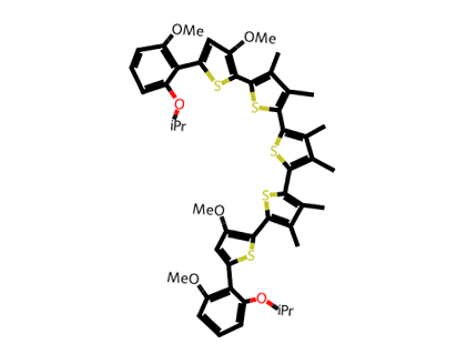 COc1cc(-c2c(OC)cccc2OC(C)C)sc1-c1sc(-c2sc(-c3sc(-c4sc(-c5c(OC)cccc5OC(C)C)cc4OC)c(C)c3C)c(C)c2C)c(C)c1C